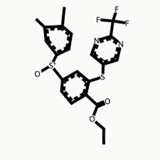 CCOC(=O)c1ccc([S+]([O-])c2ccc(C)c(C)c2)cc1Sc1cnc(C(F)(F)F)nc1